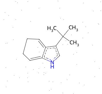 CC(C)(C)c1c[nH]c2c1=CCCC=2